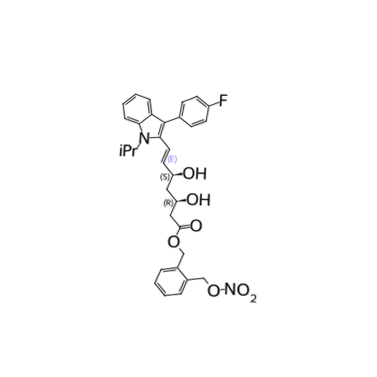 CC(C)n1c(/C=C/[C@@H](O)C[C@@H](O)CC(=O)OCc2ccccc2CO[N+](=O)[O-])c(-c2ccc(F)cc2)c2ccccc21